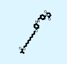 C=C(C)C(=O)OCCCCCCCCCCCOc1ccc(N=NCc2ccc(N3C(=O)CCC3=O)cc2)cc1